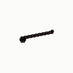 C=CC(=O)OCCOCCOCCOCCOCCOCCOCCOCCOCCOCCOCCOCCOCCOCCOCCOCCOCCOC(C)COC(C)COC(C)COC(C)COC(=O)C=C